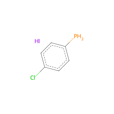 I.Pc1ccc(Cl)cc1